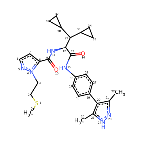 CSCCn1nccc1C(=O)N[C@H](C(=O)Nc1ccc(-c2c(C)n[nH]c2C)cc1)C(C1CC1)C1CC1